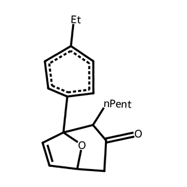 CCCCCC1C(=O)CC2C=CC1(c1ccc(CC)cc1)O2